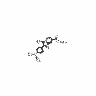 CCN(CC)c1ccc(-c2nc3cc(C(=O)OC)ccn3c2N)cc1